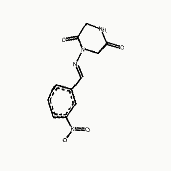 O=C1CN(N=Cc2cccc([N+](=O)[O-])c2)C(=O)CN1